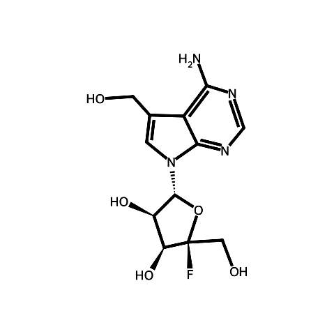 Nc1ncnc2c1c(CO)cn2[C@@H]1O[C@](F)(CO)[C@@H](O)[C@H]1O